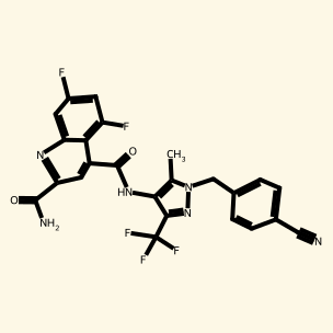 Cc1c(NC(=O)c2cc(C(N)=O)nc3cc(F)cc(F)c23)c(C(F)(F)F)nn1Cc1ccc(C#N)cc1